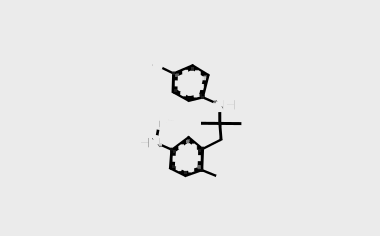 Cc1ccc(NC(C)C)cc1CC(C)(C)Nc1ccc(C(F)(F)F)cc1